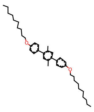 CCCCCCCCCCOc1ccc(-c2cc(C)c(-c3ccc(OCCCCCCCCCC)cc3)cc2C)cc1